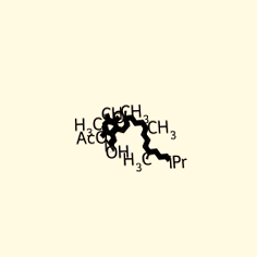 CC(=O)Oc1c(C)c(C)c2c(c1/C=N/O)CC[C@@](C)(CCC[C@H](C)CCC[C@H](C)CCCC(C)C)O2